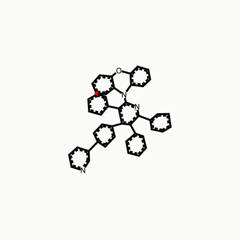 c1ccc(-c2nc(N3c4ccccc4Oc4ccccc43)c(-c3ccccc3)c(-c3ccc(-c4cccnc4)cc3)c2-c2ccccc2)cc1